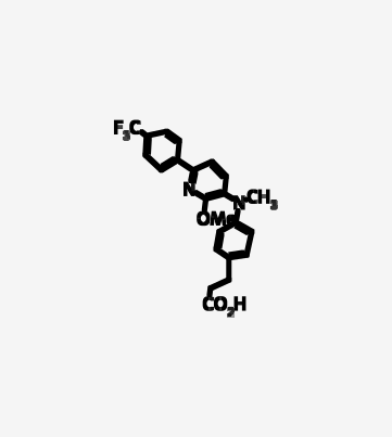 COc1nc(-c2ccc(C(F)(F)F)cc2)ccc1N(C)c1ccc(CCC(=O)O)cc1